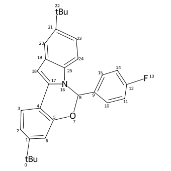 CC(C)(C)c1ccc2c(c1)OC(c1ccc(F)cc1)n1c-2cc2cc(C(C)(C)C)ccc21